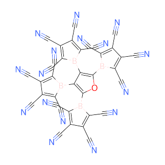 N#CC1=C(C#N)C(C#N)=C(C#N)B1c1oc(B2C(C#N)=C(C#N)C(C#N)=C2C#N)c(B2C(C#N)=C(C#N)C(C#N)=C2C#N)c1B1C(C#N)=C(C#N)C(C#N)=C1C#N